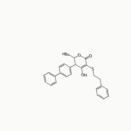 CCCCC1OC(=O)C(SCCc2ccccc2)=C(O)C1c1ccc(-c2ccccc2)cc1